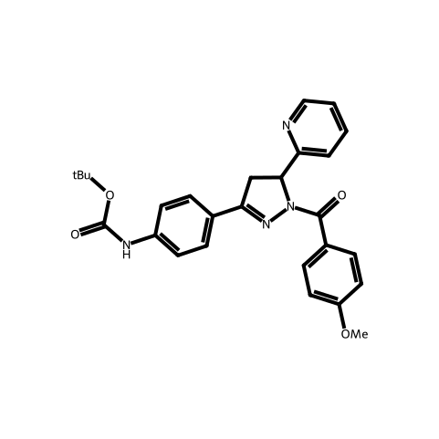 COc1ccc(C(=O)N2N=C(c3ccc(NC(=O)OC(C)(C)C)cc3)CC2c2ccccn2)cc1